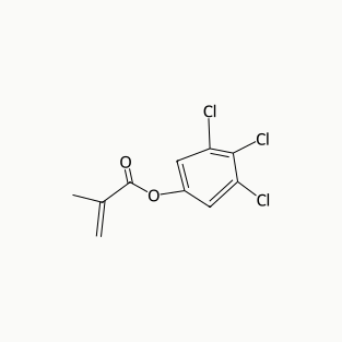 C=C(C)C(=O)Oc1cc(Cl)c(Cl)c(Cl)c1